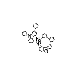 c1ccc(-c2ccc3c4c(-c5nc6nc(n5)c5cccc7oc8ccc(cc8c75)c5ccccc5c5cccc6c5)cccc4n(-c4ccccc4)c3c2)cc1